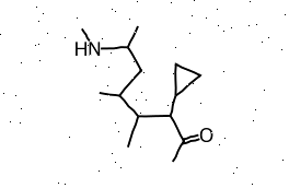 CNC(C)CC(C)C(C)C(C(C)=O)C1CC1